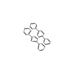 c1ccc(-c2ccc(-c3ccccc3)cc2)cc1.c1ccc(-c2ccc(-c3ccccc3)cc2)cc1